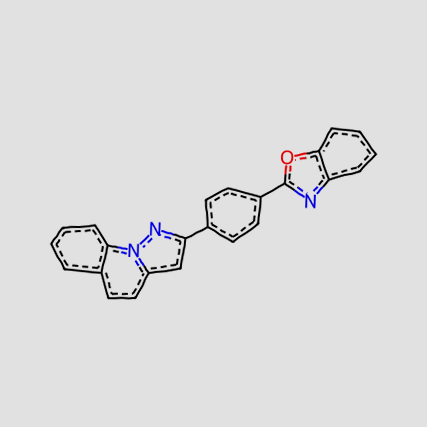 c1ccc2c(c1)ccc1cc(-c3ccc(-c4nc5ccccc5o4)cc3)nn12